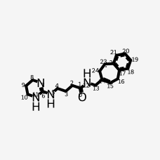 O=C(CCCNC1=NCCCN1)NCC1=CCc2ccccc2[C]C1